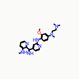 CNc1cccnc1C(=N)c1ccnc(Nc2ccc(N(C)CCN(C)C)cc2OC)c1